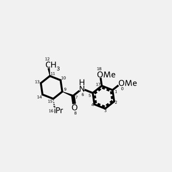 COc1cccc(NC(=O)[C@@H]2C[C@H](C)CC[C@H]2C(C)C)c1OC